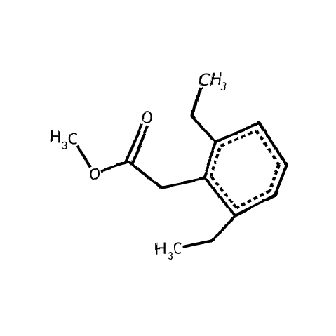 CCc1cccc(CC)c1CC(=O)OC